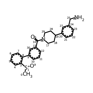 C[S+]([O-])c1ccccc1-c1cccc(C(=O)N2CCC(c3cccc(CN)c3)CC2)c1